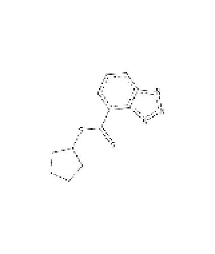 S=C(SC1CCCC1)c1cccc2nnsc12